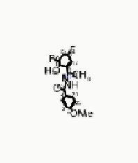 COc1ccc(C(=O)N/N=C(\C)c2cc(F)cc(F)c2O)cc1